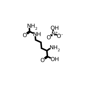 NC(=O)NCCCC(N)C(=O)O.O=[N+]([O-])O